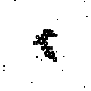 CCn1cc(OC(=O)NC2CCc3cc(Cl)ccc32)c2cc(OC)c(OC)cc2c1=O